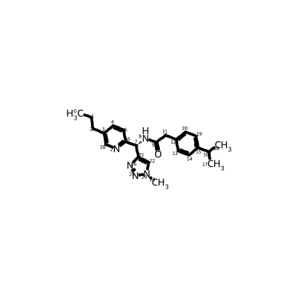 CCCc1ccc([C@H](NC(=O)Cc2ccc(C(C)C)cc2)c2cn(C)nn2)nc1